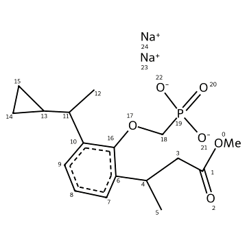 COC(=O)CC(C)c1cccc(C(C)C2CC2)c1OCP(=O)([O-])[O-].[Na+].[Na+]